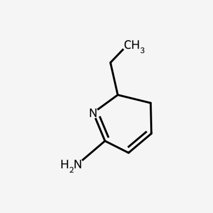 CCC1CC=CC(N)=N1